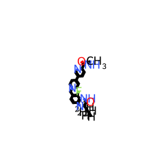 [2H]C([2H])([2H])C([2H])([2H])c1nc2ccc(CN3CC=C(c4ccc(C(=O)NC)nc4)CC3)c(F)c2[nH]c1=O